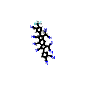 N#CC(C#N)=C1C(c2ccc(C#N)c(C#N)c2)=C(C#N)c2c1cc1c(c2C#N)C(C#N)=C(c2ccc(C(F)(F)F)c(C#N)c2)C1=C(C#N)C#N